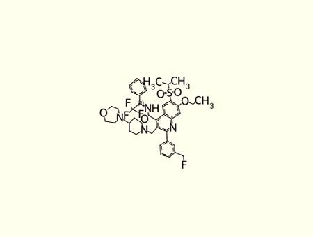 CCOc1cc2nc(-c3cccc(CF)c3)c(CN3CCC(N4CCOCC4)CC3)c(C(=O)N[C@H](c3ccccc3)C(F)(F)F)c2cc1S(=O)(=O)C(C)C